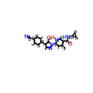 Cc1cc(-n2ncc(-c3ccc(C#N)cc3)c2O)ncc1C(=O)NC1CC1